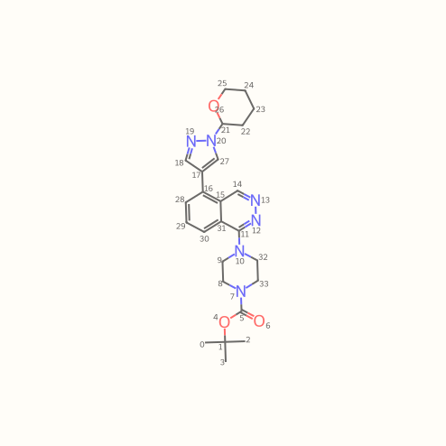 CC(C)(C)OC(=O)N1CCN(c2nncc3c(-c4cnn(C5CCCCO5)c4)cccc23)CC1